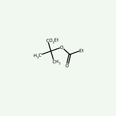 CCOC(=O)C(C)(C)OC(=O)CC